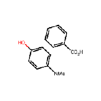 CNc1ccc(O)cc1.O=C(O)c1ccccc1